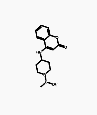 CB(O)N1CCC(Nc2cc(=O)oc3ccccc23)CC1